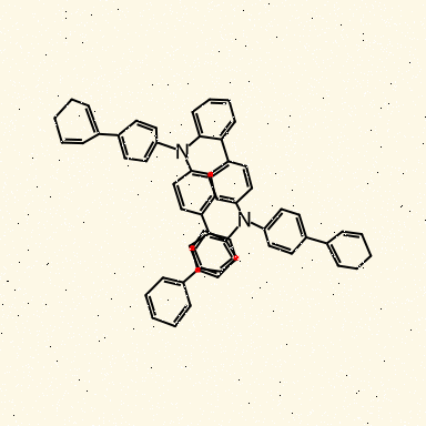 C1=CC(c2ccc(N(c3ccc(-c4ccccc4)cc3)c3ccc(-c4ccccc4N(c4ccc(C5=CCCC=C5)cc4)c4ccc(-c5ccccc5)cc4)cc3)cc2)=CCC1